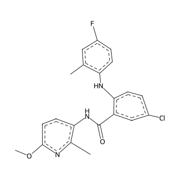 COc1ccc(NC(=O)c2cc(Cl)ccc2Nc2ccc(F)cc2C)c(C)n1